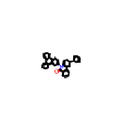 O=c1c2ccccc2c2cc(-c3ccccc3)ccc2n1-c1ccc2c3ccccc3c3ccccc3c2c1